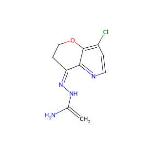 C=C(N)N/N=C1/CCOc2c(Cl)ccnc21